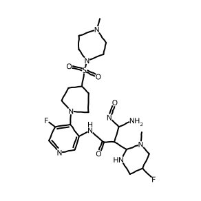 CN1CCN(S(=O)(=O)C2CCN(c3c(F)cncc3NC(=O)C(C(N)N=O)C3NCC(F)CN3C)CC2)CC1